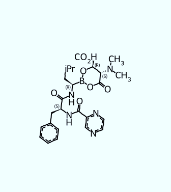 CC(C)C[C@H](NC(=O)[C@H](Cc1ccccc1)NC(=O)c1cnccn1)B1OC(=O)[C@@H](N(C)C)[C@H](C(=O)O)O1